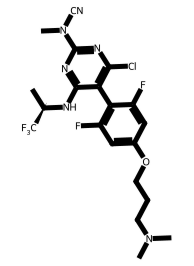 C[C@@H](Nc1nc(N(C)C#N)nc(Cl)c1-c1c(F)cc(OCCCN(C)C)cc1F)C(F)(F)F